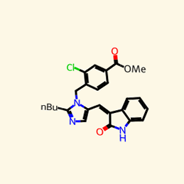 CCCCc1ncc(C=C2C(=O)Nc3ccccc32)n1Cc1ccc(C(=O)OC)cc1Cl